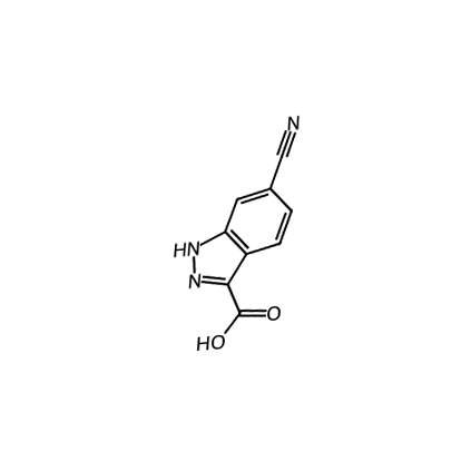 N#Cc1ccc2c(C(=O)O)n[nH]c2c1